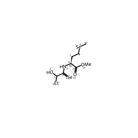 CCC(O)C(=[Se])N[C@@H](CC[Se]C)C(=O)OC